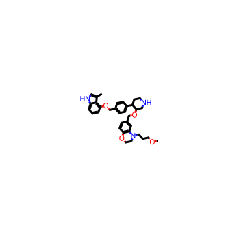 COCCCN1CCOc2ccc(COC3CNCCC3c3ccc(COc4cccc5[nH]cc(C)c45)cc3)cc21